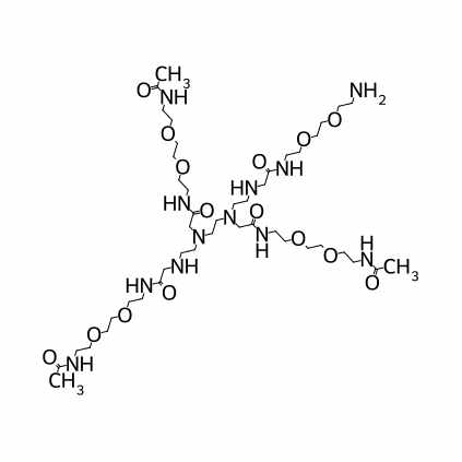 CC(=O)NCCOCCOCCNC(=O)CNCCN(CCN(CCNCC(=O)NCCOCCOCCN)CC(=O)NCCOCCOCCNC(C)=O)CC(=O)NCCOCCOCCNC(C)=O